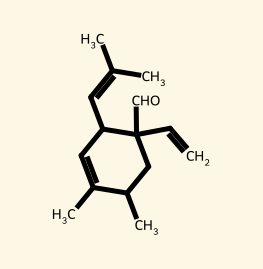 C=CC1(C=O)CC(C)C(C)=CC1C=C(C)C